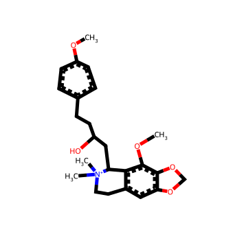 COc1ccc(CCC(O)CC2c3c(cc4c(c3OC)OCO4)CC[N+]2(C)C)cc1